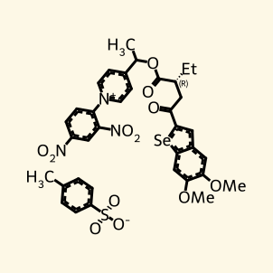 CC[C@H](CC(=O)c1cc2cc(OC)c(OC)cc2[se]1)C(=O)OC(C)c1cc[n+](-c2ccc([N+](=O)[O-])cc2[N+](=O)[O-])cc1.Cc1ccc(S(=O)(=O)[O-])cc1